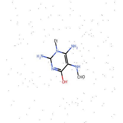 CCN1C(N)=C(NC=O)C(O)=NC1N